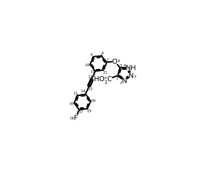 O=C(O)c1nn[nH]c1Oc1cccc(C#Cc2ccc(F)cc2)c1